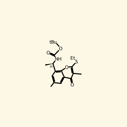 CCSc1oc2c([C@@H](C)NC(=O)OC(C)(C)C)cc(C)cc2c(=O)c1C